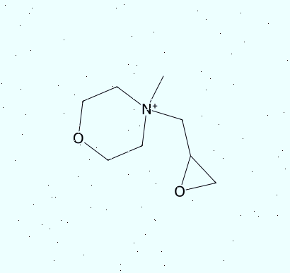 C[N+]1(CC2CO2)CCOCC1